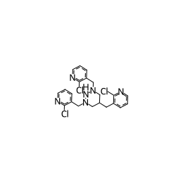 Clc1ncccc1CC1CN(Cc2cccnc2Cl)NN(Cc2cccnc2Cl)C1